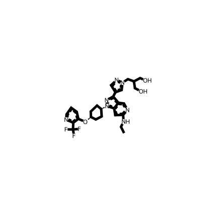 CCNc1cc2c(cn1)c(-c1cnn(CC(CO)CO)c1)nn2[C@H]1CC[C@@H](Oc2cccnc2C(F)(F)F)CC1